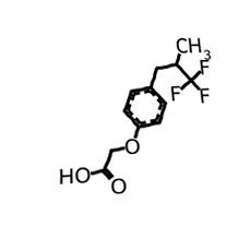 CC(Cc1ccc(OCC(=O)O)cc1)C(F)(F)F